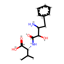 CC(C)[C@@H](NC(=O)C(O)C(N)Cc1ccccc1)C(=O)O